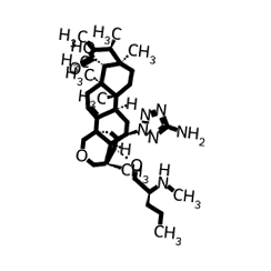 CCC[C@@H](CO[C@H]1[C@H](n2nnc(N)n2)C[C@@]23COC[C@]1(C)[C@@H]2CC[C@H]1C3=CC[C@@]2(C)[C@H](C(=O)O)[C@@](C)([C@H](C)C(C)C)CC[C@]12C)NC